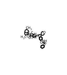 CC1CC2CC(C)C(NC(=O)c3cnc(N4CC5(CCOCC5)c5cc(NS(=O)(=O)c6ccccc6)ccc54)nc3C(F)(F)F)(C(=O)O)C(C1)C2